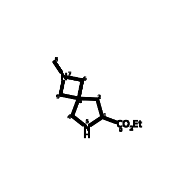 CCOC(=O)C1CC2(CN1)CN(C)C2